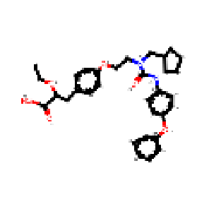 CCOC(Cc1ccc(OCCN(CC2CCCC2)C(=O)Nc2ccc(Oc3ccccc3)cc2)cc1)C(=O)O